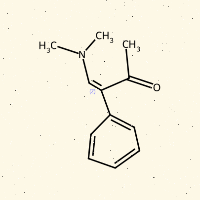 CC(=O)/C(=C\N(C)C)c1ccccc1